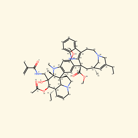 C=C(C)C(=O)NCC1(O)[C@H](OC(C)=O)[C@]2(CC)C=CCN3CC[C@@]4(c5cc([C@@]6(C(=O)OC)C[C@@H]7C=C(CC)CN(CCc8c6[nH]c6ccccc86)C7)c(OC)cc5N(C)[C@@H]14)C32